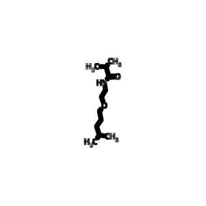 CC(C)CCCOCCNC(=O)C(C)C